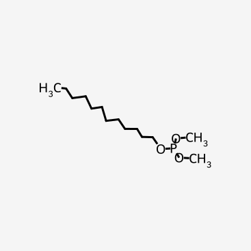 CCCCCCCCCCCCOP(OC)OC